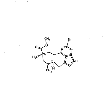 COC(=O)[C@]1(C)CC2c3cc(Br)cc4[nH]cc(c34)C[C@H]2N(C)C1